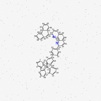 c1ccc([Si]2(c3ccccc3)c3ccccc3-c3cc(-c4ccc(-c5ccc6ccc7ccc(-c8cc9ccccc9c9ccccc89)nc7c6n5)cc4)ccc32)cc1